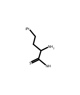 CC(C)CCC(N)C([NH])=S